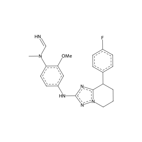 COc1cc(Nc2nc3n(n2)CCCC3c2ccc(F)cc2)ccc1N(C)C=N